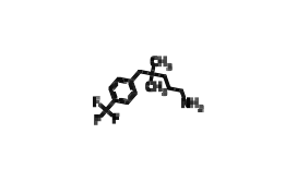 CC(C)(CCCN)Cc1ccc(C(F)(F)F)cc1